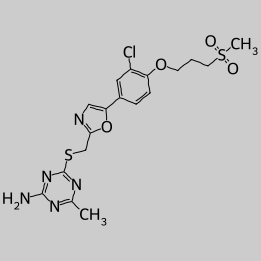 Cc1nc(N)nc(SCc2ncc(-c3ccc(OCCCS(C)(=O)=O)c(Cl)c3)o2)n1